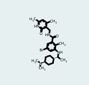 Cc1cc(C)c(CNC(=O)c2cc(Br)cc(NC(C)[C@H]3CC[C@H](N(C)C)CC3)c2C)c(=O)[nH]1